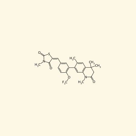 Cc1cc2c(cc1-c1cc(/C=C3/SC(=O)N(C)C3=O)ccc1OC(F)(F)F)N(C)C(=O)CC2(C)C